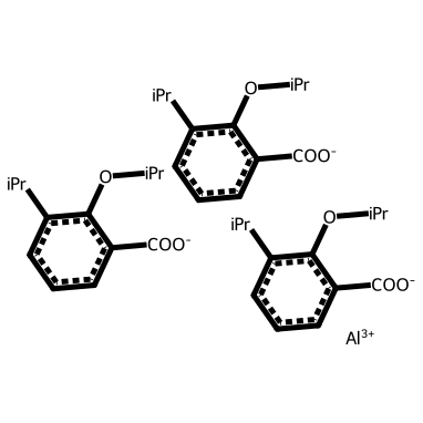 CC(C)Oc1c(C(=O)[O-])cccc1C(C)C.CC(C)Oc1c(C(=O)[O-])cccc1C(C)C.CC(C)Oc1c(C(=O)[O-])cccc1C(C)C.[Al+3]